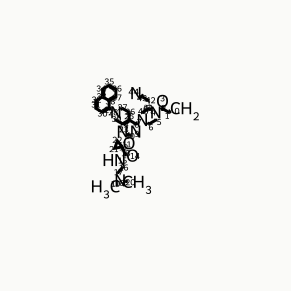 C=CC(=O)N1CCN(c2nc(OC3(C(=O)NCCN(C)C)CC3)nc3c2CCN(c2cccc4ccccc24)C3)C[C@@H]1CC#N